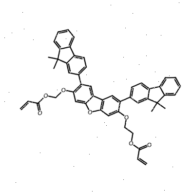 C=CC(=O)OCCOc1cc2oc3cc(OCOC(=O)C=C)c(-c4ccc5c(c4)C(C)(C)c4ccccc4-5)cc3c2cc1-c1ccc2c(c1)C(C)(C)c1ccccc1-2